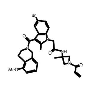 C=CC(=O)N1CC(C)(NC(=O)Cn2c(C)c(C(=O)N3CCc4c(cccc4OC)C3)c3cc(Br)ccc32)C1